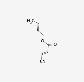 CC=CCOC(=O)C=CC#N